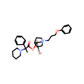 CC(C(=O)O[C@H]1C[N+]2(CCCOc3ccccc3)CCC1CC2)(c1ccccc1)N1CCCCC1.[Br-]